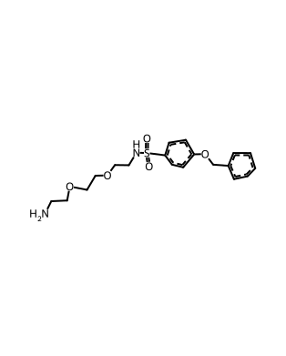 NCCOCCOCCNS(=O)(=O)c1ccc(OCc2ccccc2)cc1